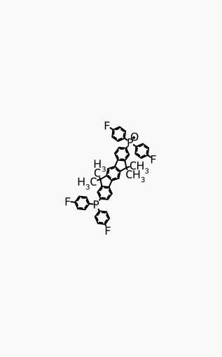 CC1(C)c2cc(P(c3ccc(F)cc3)c3ccc(F)cc3)ccc2-c2cc3c(cc21)-c1ccc(P(=O)(c2ccc(F)cc2)c2ccc(F)cc2)cc1C3(C)C